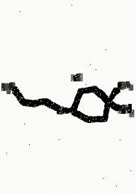 CCCO[C@H]1CC[C@](C)(N)CC1.Cl